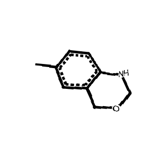 Cc1ccc2c(c1)COCN2